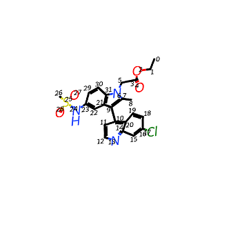 CCOC(=O)Cn1c(C)c(-c2ccnc3cc(Cl)ccc23)c2cc(NS(C)(=O)=O)ccc21